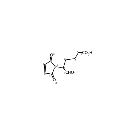 O=[C]C(CCCC(=O)O)N1C(=O)C=CC1=O